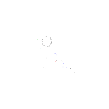 CC(C)(C)[Si](C)(C)OCC(NC(=O)CNC1CC1)c1cccc(Cl)c1F